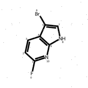 Fc1ccc2c(Br)c[nH]c2n1